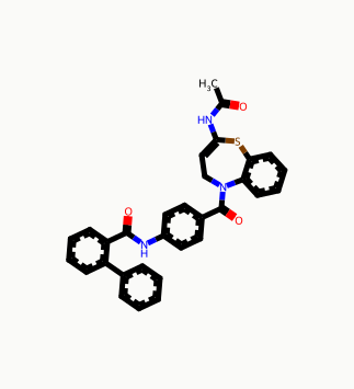 CC(=O)NC1=CCN(C(=O)c2ccc(NC(=O)c3ccccc3-c3ccccc3)cc2)c2ccccc2S1